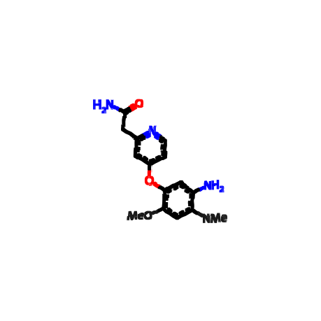 CNc1cc(OC)c(Oc2ccnc(CC(N)=O)c2)cc1N